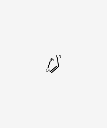 C=CC#N.CC(C)O